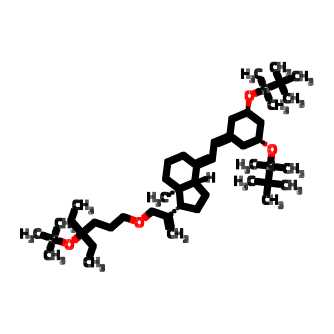 C=C(COCCCC(CC)(CC)O[Si](C)(C)C)[C@H]1CC[C@H]2/C(=C/C=C3C[C@@H](O[Si](C)(C)C(C)(C)C)C[C@H](O[Si](C)(C)C(C)(C)C)C3)CCC[C@]12C